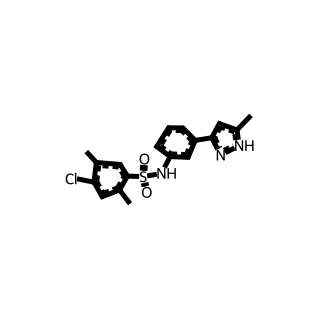 Cc1cc(-c2cccc(NS(=O)(=O)c3cc(C)c(Cl)cc3C)c2)n[nH]1